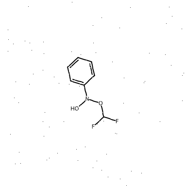 ON(OC(F)F)c1ccccc1